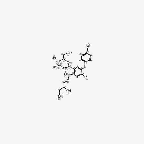 CCc1ccc(Cc2cc([C@@H]3O[C@H](CO)[C@@H](O)[C@H](O)[C@H]3O)c(COCC(O)CO)cc2Cl)cc1